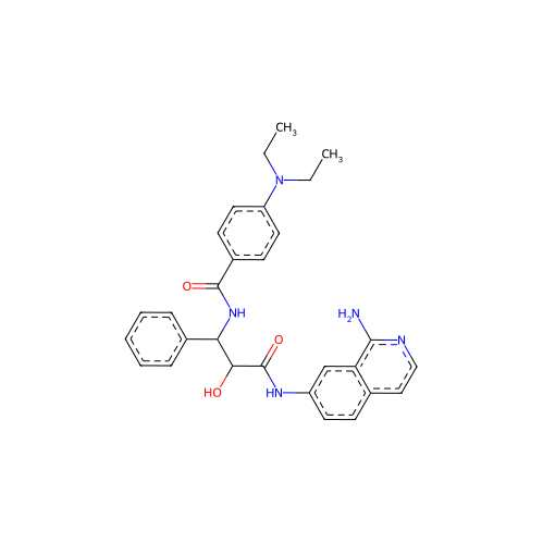 CCN(CC)c1ccc(C(=O)NC(c2ccccc2)C(O)C(=O)Nc2ccc3ccnc(N)c3c2)cc1